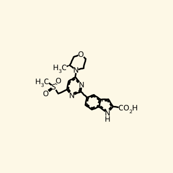 C[C@H]1COCCN1c1cc(CS(C)(=O)=O)nc(-c2ccc3[nH]c(C(=O)O)cc3c2)n1